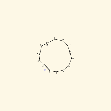 [CH]1CC/C=C\CCCCCCCCC1